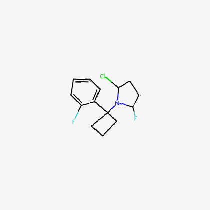 Fc1ccccc1C1(N2C(F)[CH]CC2Cl)CCC1